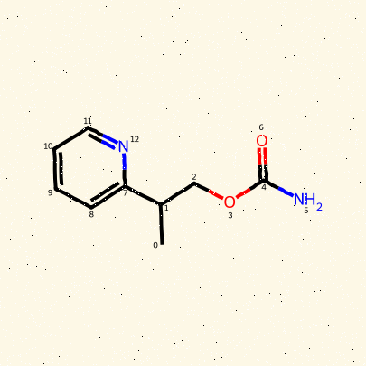 CC(COC(N)=O)c1ccccn1